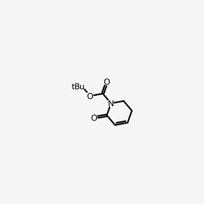 CC(C)(C)OC(=O)N1CCC=CC1=O